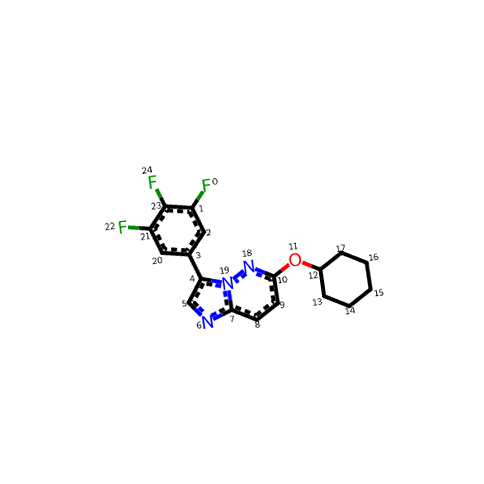 Fc1cc(-c2cnc3ccc(OC4CCCCC4)nn23)cc(F)c1F